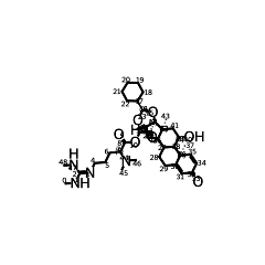 CNC(=NCCC[C@@H](C(=O)OCC(=O)[C@@]12O[C@H](C3CCCCC3)O[C@H]1CC1C3CCC4=CC(=O)C=C[C@]4(C)C3[C@@H](O)C[C@@]12C)N(C)C)NC